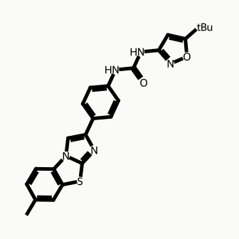 Cc1ccc2c(c1)sc1nc(-c3ccc(NC(=O)Nc4cc(C(C)(C)C)on4)cc3)cn12